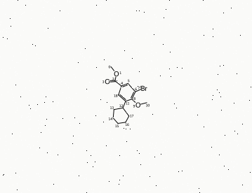 COC(=O)c1cc(Br)c(OC)c(C2CCCCC2)c1